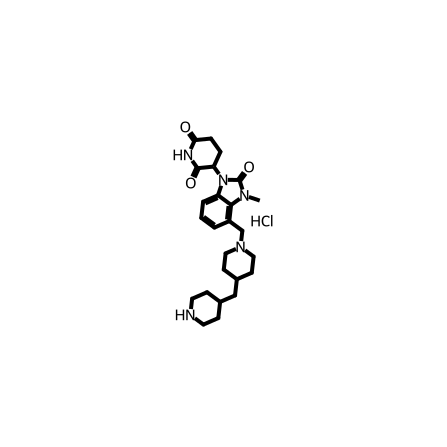 Cl.Cn1c(=O)n(C2CCC(=O)NC2=O)c2cccc(CN3CCC(CC4CCNCC4)CC3)c21